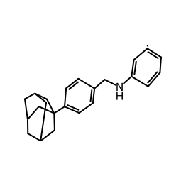 [c]1cccc(NCc2ccc(C34CC5CC(CC(C5)C3)C4)cc2)c1